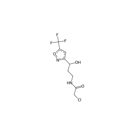 O=C(CCl)NCCC(O)c1cc(C(F)(F)F)on1